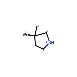 CC(C)[C@]1(C)CCNC1